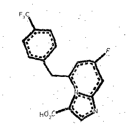 O=C(O)c1cnc2cc(F)cc(Cc3ccc(C(F)(F)F)cc3)n12